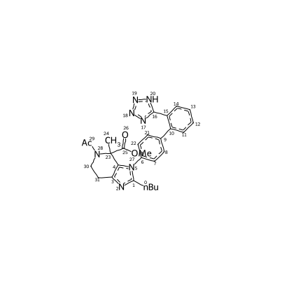 CCCCc1nc2c(n1-c1ccc(-c3ccccc3-c3nnn[nH]3)cc1)C(C)(C(=O)OC)N(C(C)=O)CC2